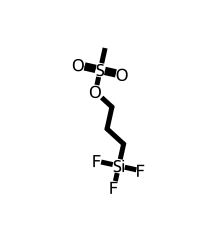 CS(=O)(=O)OCCC[Si](F)(F)F